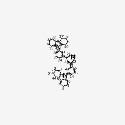 CC1C=Cc2c(c3ccccc3n2-c2cccc(-c3cncc(-c4cccc(-n5c6c(c7ccccc75)C=CCC6)c4)c3)c2)C1